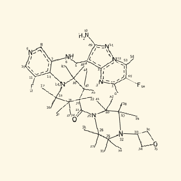 Cc1nc2c(CNc3cncc(F)c3N3C(C)(C)C(C)(C)C(C)(C(=O)N4C(C)(C)C(C)(C)N(C5COC5)C(C)(C)C4(C)C)C(C)(C)C3(C)C)c(N)nn2c(C)c1F